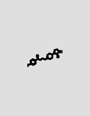 O=C(CCCN1CCC(N2CCNC2=O)CC1)c1ccc(F)cc1